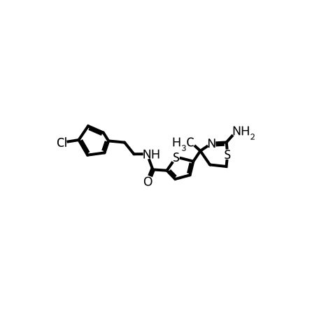 CC1(c2ccc(C(=O)NCCc3ccc(Cl)cc3)s2)CCSC(N)=N1